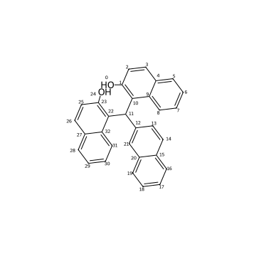 Oc1ccc2ccccc2c1C(c1ccc2ccccc2c1)c1c(O)ccc2ccccc12